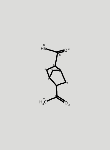 CC(=O)C1CC2CC1CC2C(=O)S